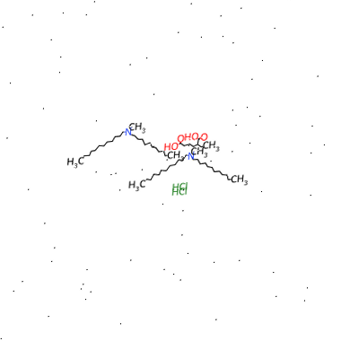 CCC(CCCC(=O)O)C(=O)O.CCCCCCCCCCCCN(C)CCCCCCCCCCCC.CCCCCCCCCCCCN(C)CCCCCCCCCCCC.Cl.Cl